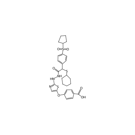 O=C(O)c1ccc(Oc2cnc(NNC(=O)C(SC3CCCCC3)c3ccc(S(=O)(=O)C4CCCC4)cc3)s2)cc1